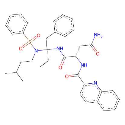 CC[C@](Cc1ccccc1)(NC(=O)[C@H](CC(N)=O)NC(=O)c1ccc2ccccc2n1)N(CCC(C)C)S(=O)(=O)c1ccccc1